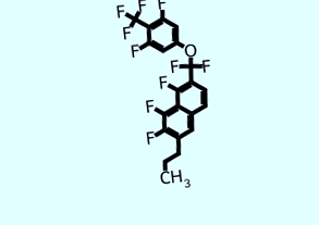 CCCc1cc2ccc(C(F)(F)Oc3cc(F)c(C(F)(F)F)c(F)c3)c(F)c2c(F)c1F